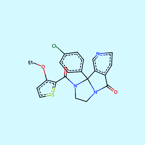 CCOc1ccsc1C(=O)N1CCN2C(=O)c3ccncc3C21c1ccc(Cl)cc1